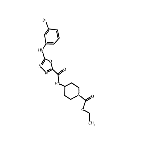 CCOC(=O)N1CCC(NC(=O)c2nnc(Nc3cccc(Br)c3)o2)CC1